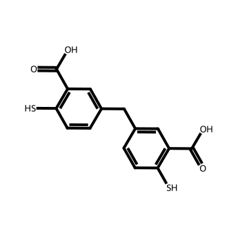 O=C(O)c1cc(Cc2ccc(S)c(C(=O)O)c2)ccc1S